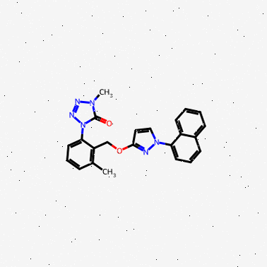 Cc1cccc(-n2nnn(C)c2=O)c1COc1ccn(-c2cccc3ccccc23)n1